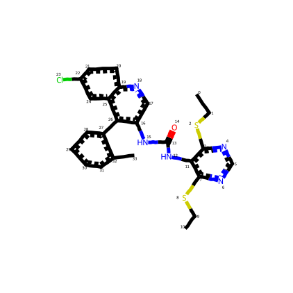 CCSc1ncnc(SCC)c1NC(=O)Nc1cnc2ccc(Cl)cc2c1-c1ccccc1C